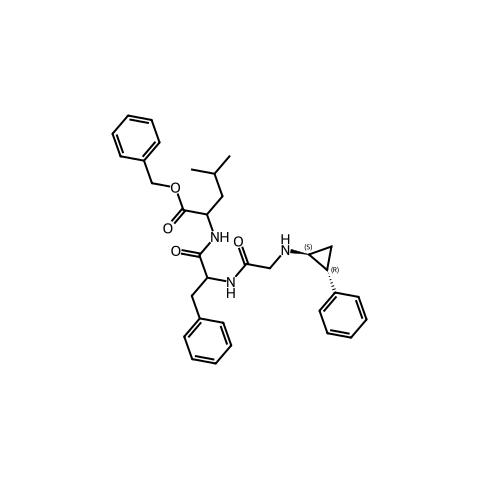 CC(C)CC(NC(=O)C(Cc1ccccc1)NC(=O)CN[C@H]1C[C@@H]1c1ccccc1)C(=O)OCc1ccccc1